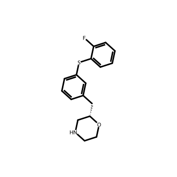 Fc1ccccc1Sc1cccc(C[C@H]2CNCCO2)c1